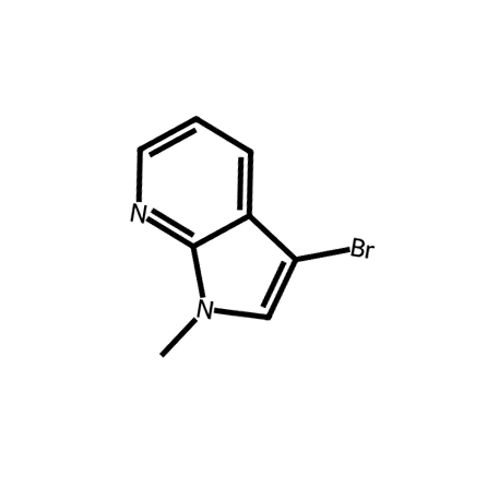 Cn1cc(Br)c2cccnc21